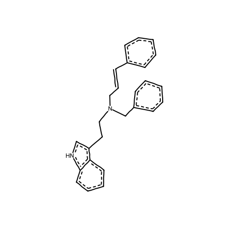 C(=Cc1ccccc1)CN(CCc1c[nH]c2ccccc12)Cc1ccccc1